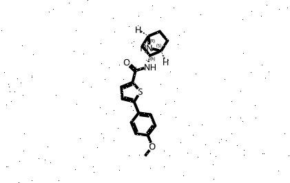 COc1ccc(-c2ccc(C(=O)N[C@@H]3C[C@H]4CC[C@@H]3N4)s2)cc1